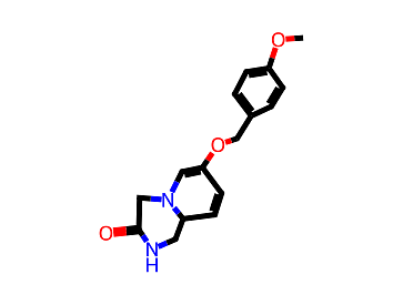 COc1ccc(COC2=CN3CC(=O)NCC3C=C2)cc1